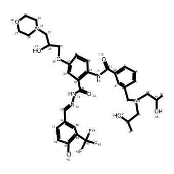 CC(O)CN(Cc1cccc(C(=O)Nc2ccc(OCC(O)CN3CCOCC3)cc2C(=O)NN=Cc2ccc(Cl)c(C(F)(F)F)c2)c1)CC(C)O